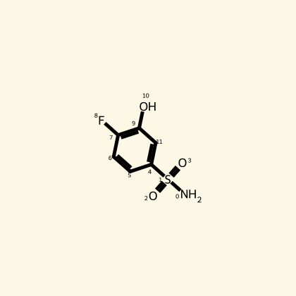 NS(=O)(=O)c1ccc(F)c(O)c1